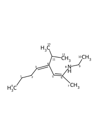 CCC/C=C(\C=C(\C)NCC)C(C)C